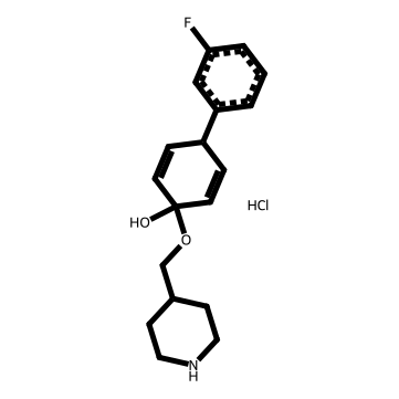 Cl.OC1(OCC2CCNCC2)C=CC(c2cccc(F)c2)C=C1